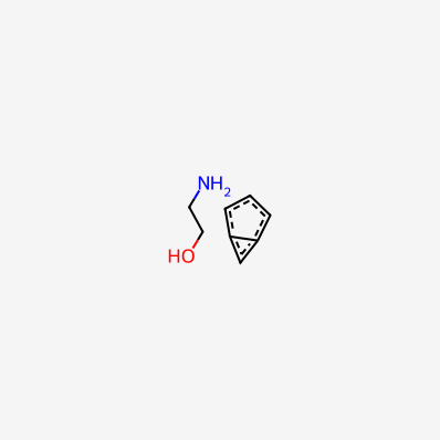 NCCO.c1cc2cc-2c1